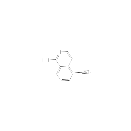 N#Cc1cccc2c(N)nccc12